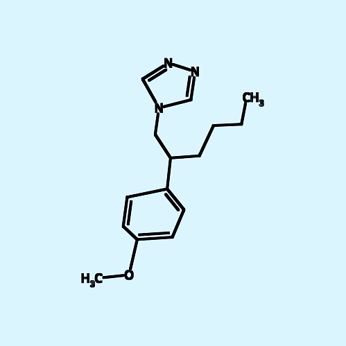 CCCCC(Cn1cnnc1)c1ccc(OC)cc1